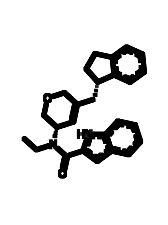 CCN(C(=O)c1cc2ccccc2[nH]1)[C@H]1C=C(C[C@@H]2CCc3ccccc32)COC1